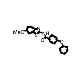 COc1ccc2nc(NC(=O)c3ccc(Oc4ccccc4)cc3)sc2c1